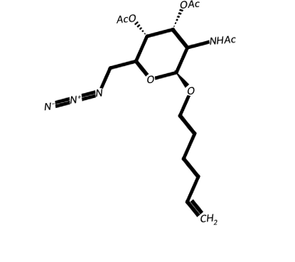 C=CCCCCO[C@H]1OC(CN=[N+]=[N-])[C@H](OC(C)=O)[C@H](OC(C)=O)C1NC(C)=O